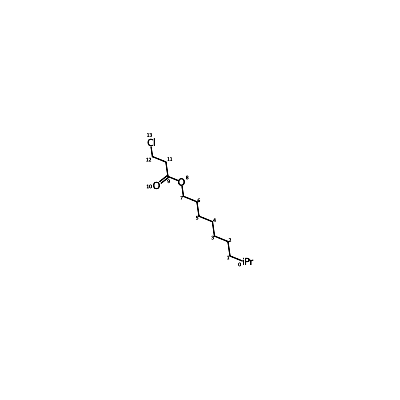 CC(C)CCCCCCCOC(=O)CCCl